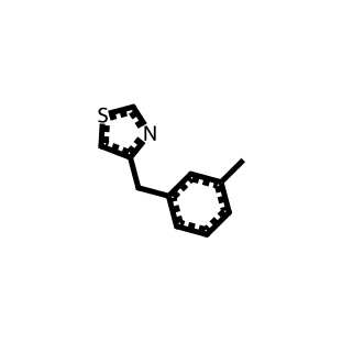 Cc1cccc(Cc2cscn2)c1